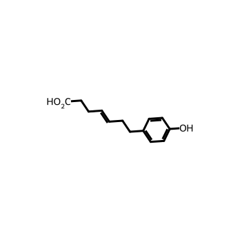 O=C(O)CCC=CCCc1ccc(O)cc1